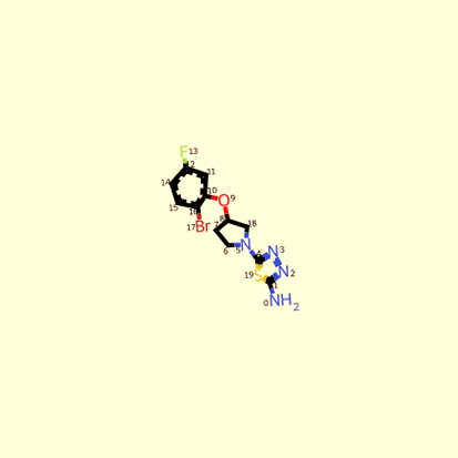 Nc1nnc(N2CCC(Oc3cc(F)ccc3Br)C2)s1